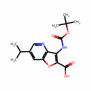 CC(C)c1cnc2c(NC(=O)OC(C)(C)C)c(C(=O)O)oc2c1